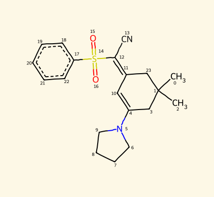 CC1(C)CC(N2CCCC2)=CC(=C(C#N)S(=O)(=O)c2ccccc2)C1